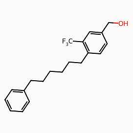 OCc1ccc(CCCCCCc2ccccc2)c(C(F)(F)F)c1